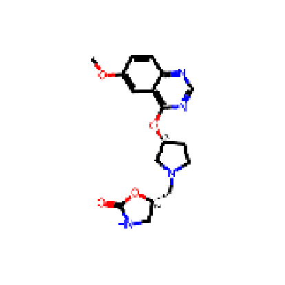 COc1ccc2ncnc(O[C@H]3CCN(C[C@@H]4CNC(=O)O4)C3)c2c1